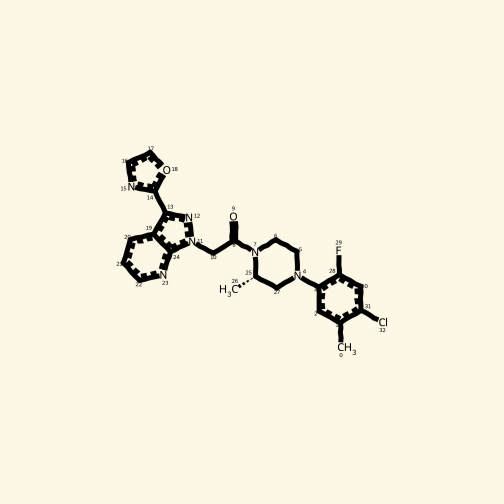 Cc1cc(N2CCN(C(=O)Cn3nc(-c4ncco4)c4cccnc43)[C@@H](C)C2)c(F)cc1Cl